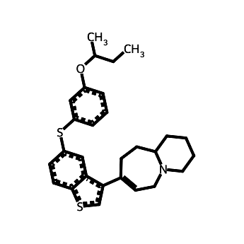 CCC(C)Oc1cccc(Sc2ccc3scc(C4=CCN5CCCCC5CC4)c3c2)c1